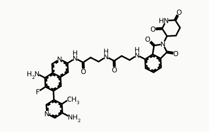 Cc1c(N)cncc1-c1cc2cc(NC(=O)CCNC(=O)CCNc3cccc4c3C(=O)N(C3CCC(=O)NC3=O)C4=O)ncc2c(N)c1F